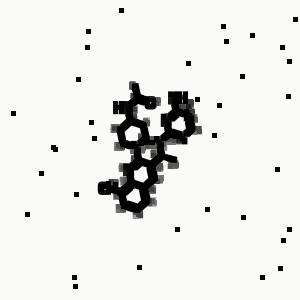 CC(=O)NC1CCN(c2nc3c(Cl)cccc3cc2[C@H](C)Nc2ncnc(N)n2)CC1